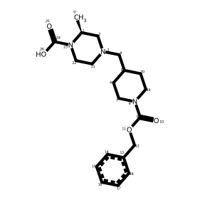 C[C@H]1CN(CC2CCN(C(=O)OCc3ccccc3)CC2)CCN1C(=O)O